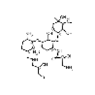 CN[C@@H]1C(O)[C@@H](OC2C(O)C(O[C@H]3O[C@H](CNC[C@@H](O)CO)CCC3N)[C@@H](N)C[C@H]2NC(=O)[C@@H](O)CN)OCC1(C)O